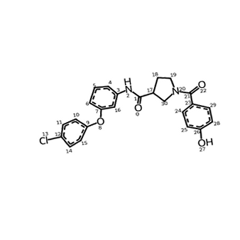 O=C(Nc1cccc(Oc2ccc(Cl)cc2)c1)C1CCN(C(=O)c2ccc(O)cc2)C1